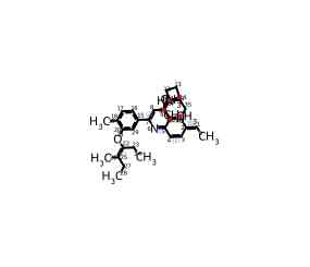 C\C=C(/C=C\C(=N\C(=C/C(C)=C1CCC1)c1ccc(C)c(O/C(CC)=C(\C)CC)c1)C(C)CC)N1CCNCC1